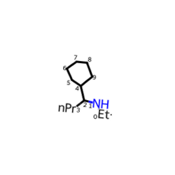 C[CH]NC(CCC)C1CCCCC1